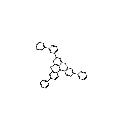 c1ccc(-c2ccc3c(c2)Oc2cc(-c4cccc(-c5cccnc5)c4)cc4c2B3c2ccc(-c3ccccc3)cc2O4)cc1